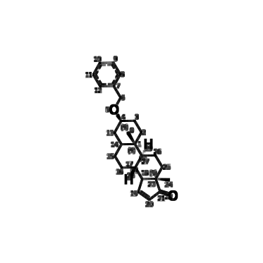 C[C@]12CC[C@H](OCc3ccccc3)CC1CC[C@H]1C3C=CC(=O)[C@@]3(C)CC[C@@H]12